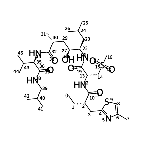 CC[C@@H](Cc1nc(C)cs1)C(=O)N[C@@H](CS(C)(=O)=O)C(=O)N[C@H](CC(C)C)[C@@H](O)C[C@@H](C)C(=O)N[C@@H](C(=O)NCC(C)C)C(C)C